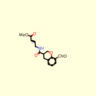 COC(=O)/C=C/CNC(=O)C1COc2c(C=O)cccc2C1